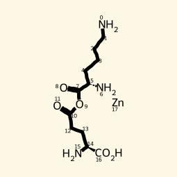 NCCCC[C@H](N)C(=O)OC(=O)CC[C@H](N)C(=O)O.[Zn]